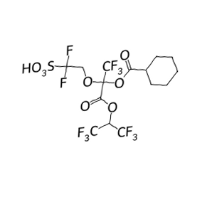 O=C(OC(OCC(F)(F)S(=O)(=O)O)(C(=O)OC(C(F)(F)F)C(F)(F)F)C(F)(F)F)C1CCCCC1